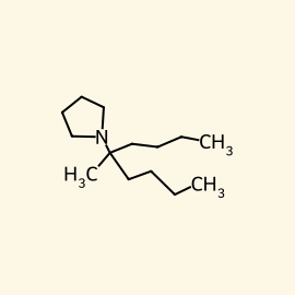 CCCCC(C)(CCCC)N1CCCC1